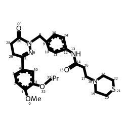 COc1ccc(C2=NN(Cc3ccc(NC(=O)CCN4CCSCC4)cc3)C(=O)CC2)cc1OC(C)C